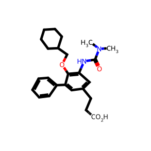 CN(C)C(=O)Nc1cc(CCC(=O)O)cc(-c2ccccc2)c1OCC1CCCCC1